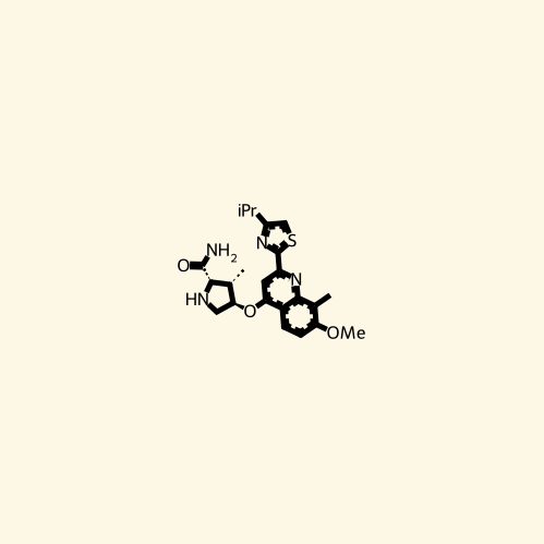 COc1ccc2c(O[C@H]3CN[C@H](C(N)=O)[C@@H]3C)cc(-c3nc(C(C)C)cs3)nc2c1C